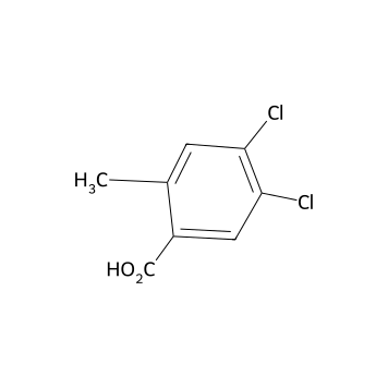 Cc1cc(Cl)c(Cl)cc1C(=O)O